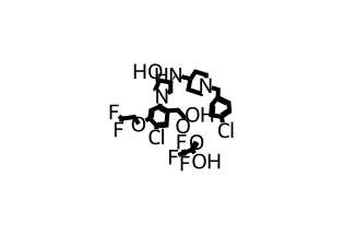 O=C(O)C(F)(F)F.O=C(O)Cc1cc(Cl)c(OCC(F)F)cc1N1C[C@@H](O)[C@H](NC2CCN(Cc3ccc(Cl)cc3)CC2)C1